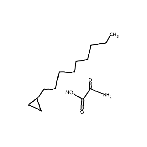 CCCCCCCCCC1CC1.NC(=O)C(=O)O